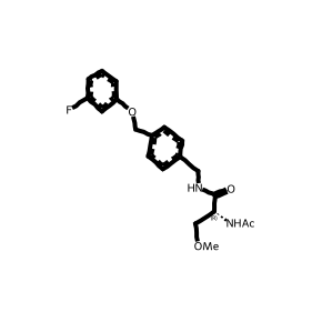 COC[C@@H](NC(C)=O)C(=O)NCc1ccc(COc2cccc(F)c2)cc1